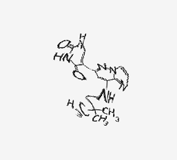 CC(C)(C)CNc1cc(-c2c[nH]c(=O)[nH]c2=O)nn2ccnc12